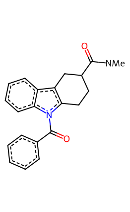 CNC(=O)C1CCc2c(c3ccccc3n2C(=O)c2ccccc2)C1